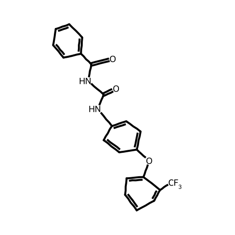 O=C(NC(=O)c1ccccc1)Nc1ccc(Oc2ccccc2C(F)(F)F)cc1